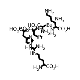 CC(C)CC(N)C(=O)O.CCC(C)C(N)C(=O)O.N.N=C(N)NCCCC(N)C(=O)O.NC(Cc1c[nH]cn1)C(=O)O.NCCCCC(N)C(=O)O